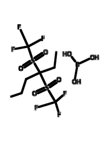 CCCC(CC)(S(=O)(=O)C(F)(F)F)S(=O)(=O)C(F)(F)F.OB(O)O